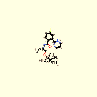 C[C@@H](CO[Si](C)(C)C(C)(C)C)NC(=O)c1ccc(F)cc1-c1ncccn1